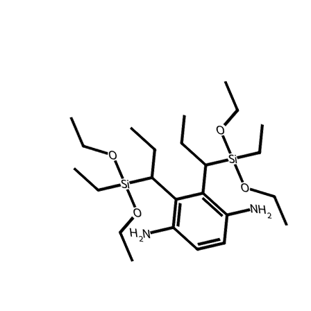 CCO[Si](CC)(OCC)C(CC)c1c(N)ccc(N)c1C(CC)[Si](CC)(OCC)OCC